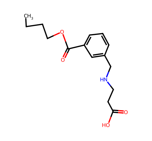 CCCCOC(=O)c1cccc(CNCCC(=O)O)c1